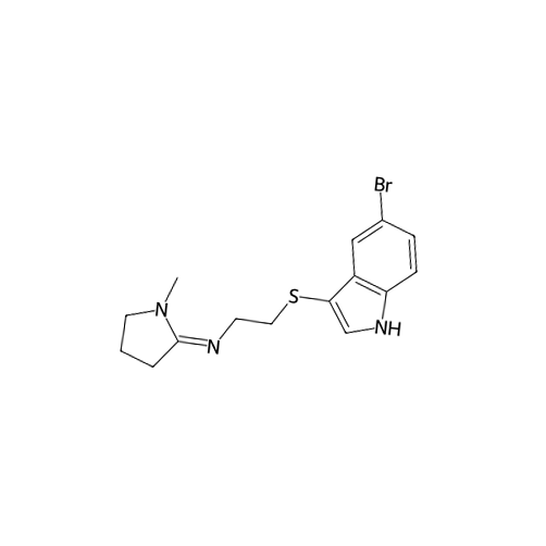 CN1CCCC1=NCCSc1c[nH]c2ccc(Br)cc12